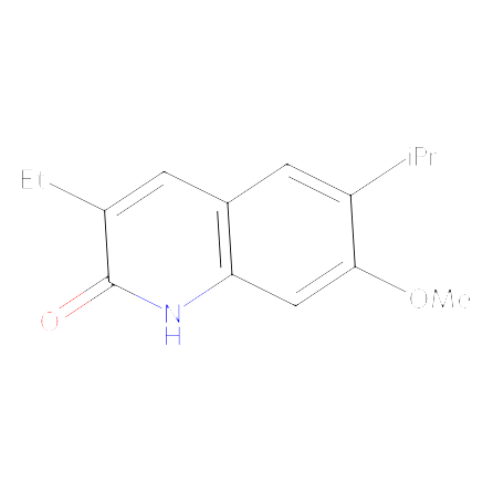 CCc1cc2cc(C(C)C)c(OC)cc2[nH]c1=O